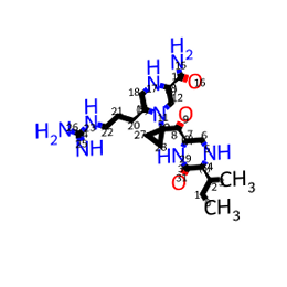 CCC(C)[C@@H]1NC[C@H](C(=O)C2(N3C[C@H](C(N)=O)NC[C@@H]3CCCNC(=N)N)CC2)NC1=O